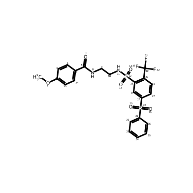 COc1ccc(C(=O)NCCNS(=O)(=O)c2cc(S(=O)(=O)c3ccccc3)ccc2C(F)(F)F)cc1